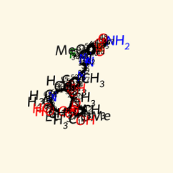 CC[C@H]1OC(=O)[C@H](C)[C@@H](O[C@H]2C[C@@](C)(OC)[C@@H](O)[C@H](C)O2)[C@H](C)[C@@H](O[C@H]2C[C@@H](N(C)CCc3cn([C@H](CF)[C@H](OC)c4ccc(S(=O)(=O)CC(N)=O)cc4)nn3)C[C@@H](C)O2)[C@](C)(O)C[C@@H](C)CN(C)[C@H](C)[C@@H](O)[C@]1(C)O